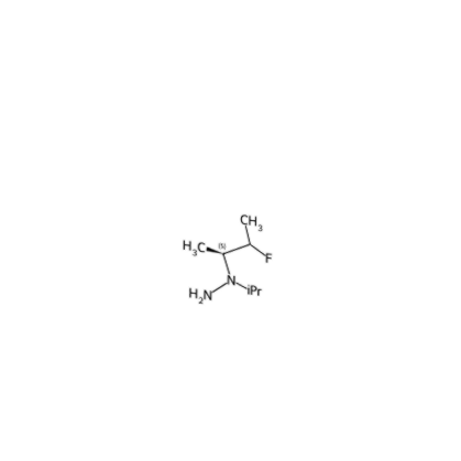 CC(F)[C@H](C)N(N)C(C)C